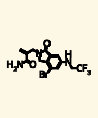 C=C(CN1Cc2c(Br)cc(NCC(F)(F)F)cc2C1=O)C(N)=O